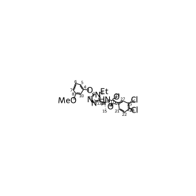 CCn1c(Oc2cccc(OC)c2)nnc1[C@@H](C)NS(=O)(=O)c1ccc(Cl)c(Cl)c1